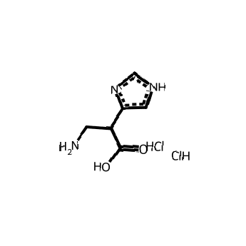 Cl.Cl.NCC(C(=O)O)c1c[nH]cn1